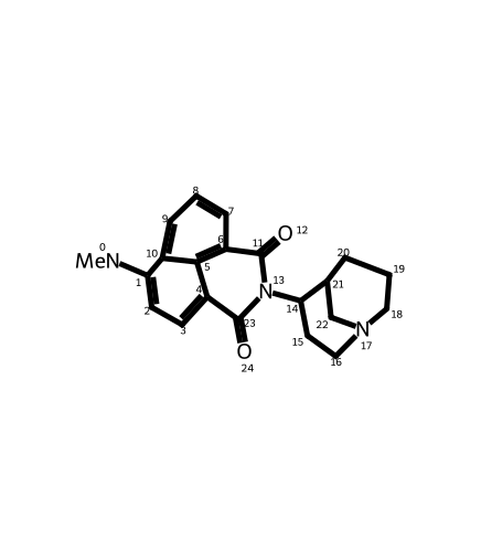 CNc1ccc2c3c(cccc13)C(=O)N(C1CCN3CCCC1C3)C2=O